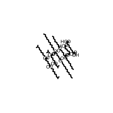 CC(C)CCCCCCCOC(=O)CCCCC(=O)OCCCCCCCC(C)C.CC(C)COC(=O)CCCCC(=O)OCC(C)C.CCCCCCCCCCCCCOC(=O)CCCCC(=O)OCCCCCCCCCCCCC.CCCCCCCCCOC(=O)CCCCC(=O)OCCCCCCCCC.O=C(O)CCCCC(=O)O.O=C(O)CCCCCCCC(=O)O